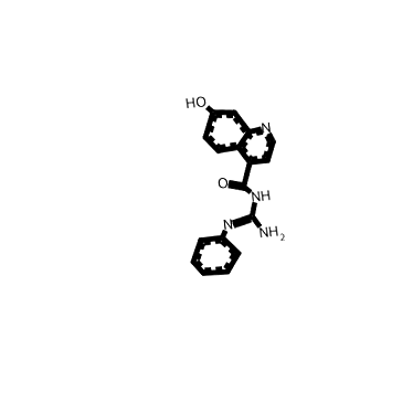 NC(=Nc1ccccc1)NC(=O)c1ccnc2cc(O)ccc12